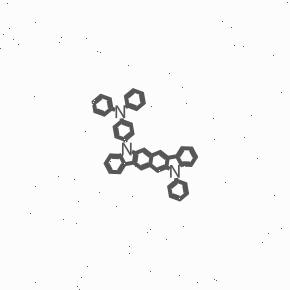 c1ccc(N(c2ccccc2)c2ccc(-n3c4ccccc4c4cc5cc6c(cc5cc43)c3ccccc3n6-c3ccccc3)cc2)cc1